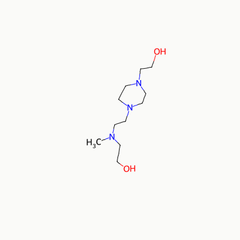 CN(CCO)CCN1CCN(CCO)CC1